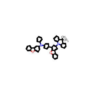 CC1(C)c2ccccc2N(c2cc(-c3ccc(N(c4ccccc4)c4ccc5oc6ccccc6c5c4)cc3)c3oc4ccccc4c3c2)c2ccccc21